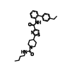 CCCCNC(=O)N1CCC(c2nc(C(=O)Nc3ccccc3-c3ccc(CC)cc3)cs2)CC1